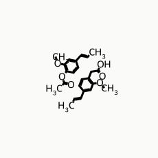 CC=Cc1ccc(CC(=O)O)c(OC)c1.CC=Cc1ccc(OC(C)=O)c(OC)c1